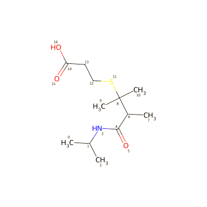 CC(C)NC(=O)C(C)C(C)(C)SCCC(=O)O